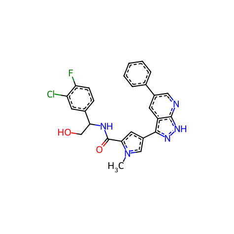 Cn1cc(-c2n[nH]c3ncc(-c4ccccc4)cc23)cc1C(=O)NC(CO)c1ccc(F)c(Cl)c1